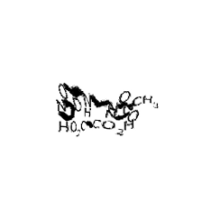 Cn1c(=O)cnn(CCCNCC2COc3ncccc3O2)c1=O.O=C(O)/C=C/C(=O)O